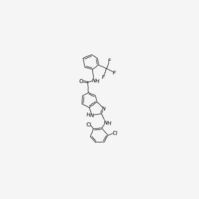 O=C(Nc1ccccc1C(F)(F)F)c1ccc2[nH]c(Nc3c(Cl)cccc3Cl)nc2c1